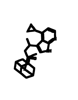 CCC12CC3CC(C1)N(C(=O)CC(C)c1c[nH]c4nccc(C5CC5)c14)C(C3)C2